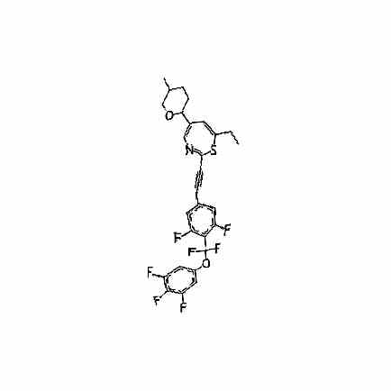 CCC1=CC(C2CCC(C)CO2)=CN=C(C#Cc2cc(F)c(C(F)(F)Oc3cc(F)c(F)c(F)c3)c(F)c2)S1